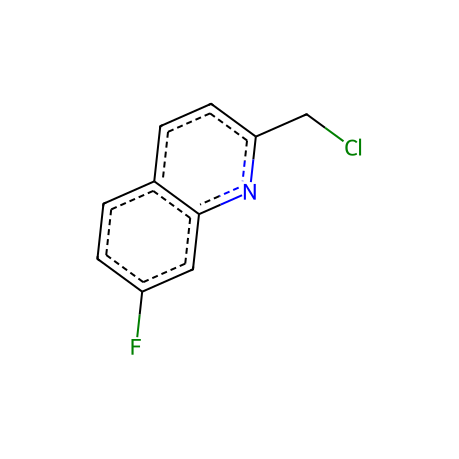 Fc1ccc2ccc(CCl)nc2c1